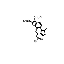 CCOC(=O)c1c(NC(C)=O)sc2c(OCCN(CC)CC)c(-c3ccsc3C)ccc12